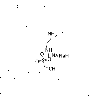 CCS(=O)(=O)ONCCN.[NaH].[NaH]